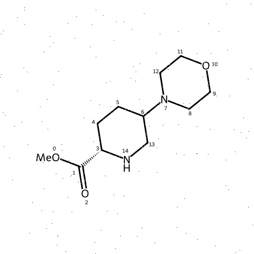 COC(=O)[C@@H]1CCC(N2CCOCC2)CN1